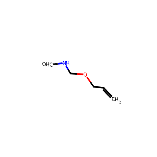 C=CCOCNC=O